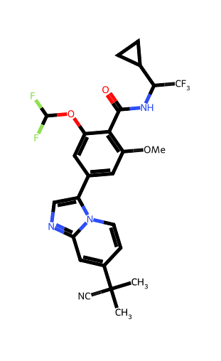 COc1cc(-c2cnc3cc(C(C)(C)C#N)ccn23)cc(OC(F)F)c1C(=O)NC(C1CC1)C(F)(F)F